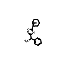 CC(c1ccccc1)c1noc(C2CC3CCC2NC3)n1